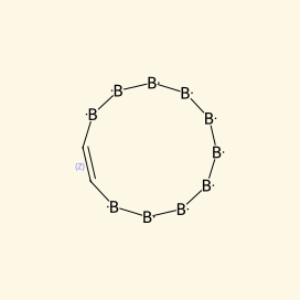 [B]1[B][B][B][B][B]/C=C\[B][B][B][B]1